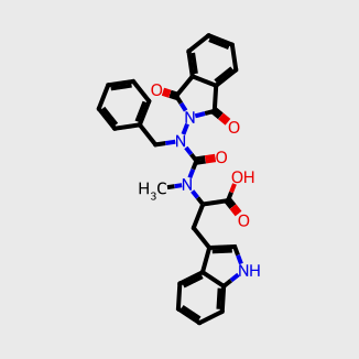 CN(C(=O)N(Cc1ccccc1)N1C(=O)c2ccccc2C1=O)C(Cc1c[nH]c2ccccc12)C(=O)O